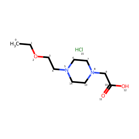 CCOCCN1CCN(CC(=O)O)CC1.Cl